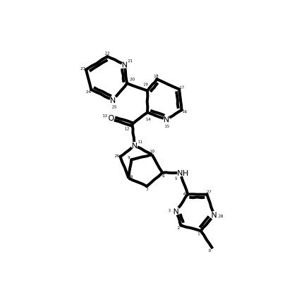 Cc1cnc(NC2CC3CC2N(C(=O)c2ncccc2-c2ncccn2)C3)cn1